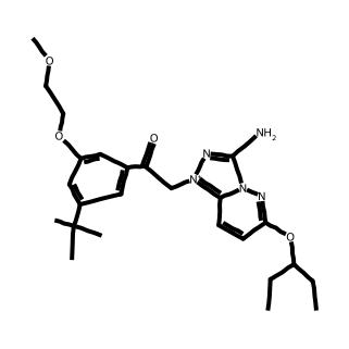 CCC(CC)Oc1ccc2n(n1)c(N)n[n+]2CC(=O)c1cc(OCCOC)cc(C(C)(C)C)c1